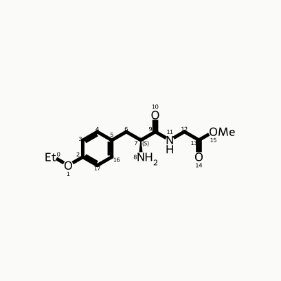 CCOc1ccc(C[C@H](N)C(=O)NCC(=O)OC)cc1